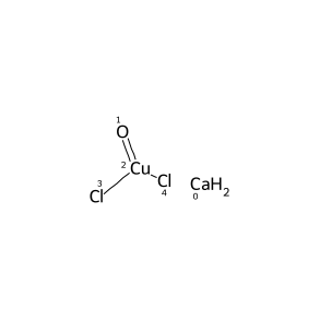 [CaH2].[O]=[Cu]([Cl])[Cl]